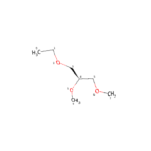 CCOC[C@@H](COC)OC